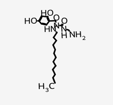 CCCCCCCCCCCCCCNN(C(=O)NCN)C(=O)c1ccc(O)cc1O